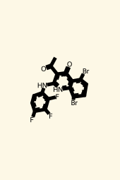 CC(=O)c1c(Nc2ccc(F)c(F)c2F)[nH]c2c(Br)ccc(Br)c2c1=O